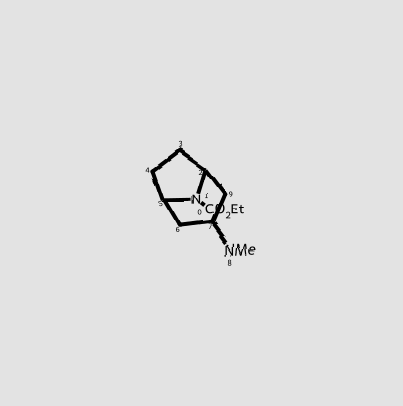 CCOC(=O)N1C2CCC1CC(NC)C2